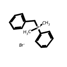 C[P+](C)(Cc1ccccc1)c1ccccc1.[Br-]